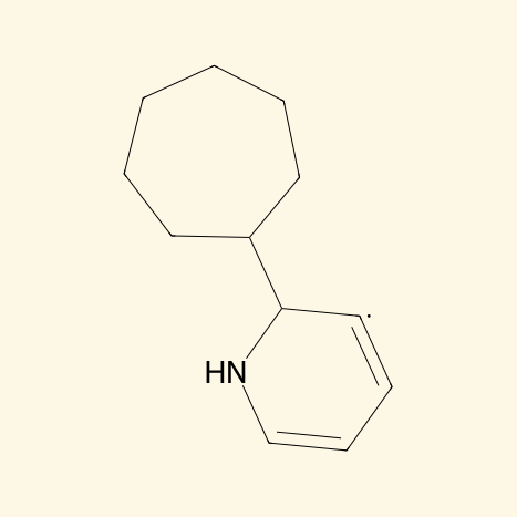 [C]1=CC=CNC1C1CCCCCC1